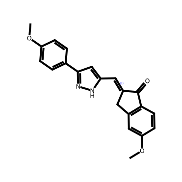 COc1ccc(-c2cc(/C=C3\Cc4cc(OC)ccc4C3=O)[nH]n2)cc1